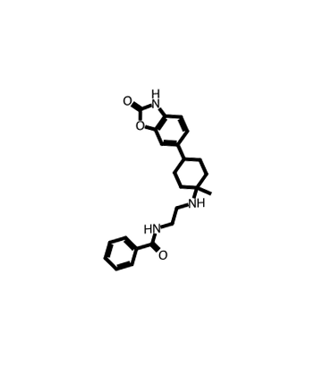 CC1(NCCNC(=O)c2ccccc2)CCC(c2ccc3[nH]c(=O)oc3c2)CC1